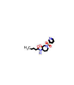 CCC[CH]C(=O)NC1CCCN(S(=O)(=O)c2cccnc2)CC1=O